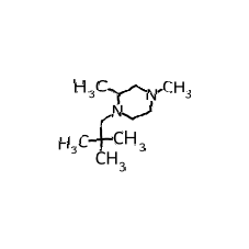 C[C@H]1CN(C)CCN1CC(C)(C)C